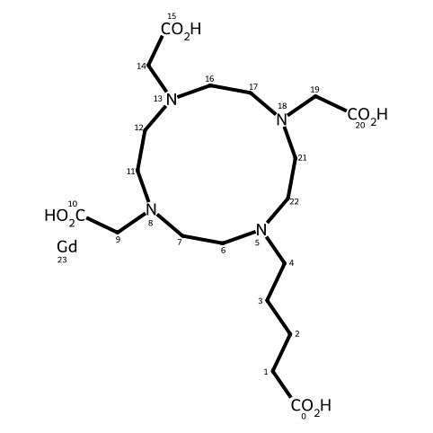 O=C(O)CCCCN1CCN(CC(=O)O)CCN(CC(=O)O)CCN(CC(=O)O)CC1.[Gd]